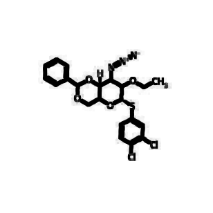 CCOC1C(N=[N+]=[N-])[C@H]2OC(c3ccccc3)OCC2O[C@@H]1Sc1ccc(Cl)c(Cl)c1